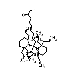 C=CCC1(CC=C)CCCC(CC=C)(CC=C)N1C(CCCCCCCC(=O)O)(C(=O)O)N1C(CC=C)(CC=C)CCCC1(CC=C)CC=C